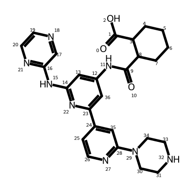 O=C(O)C1CCCCC1C(=O)Nc1cc(Nc2cnccn2)nc(-c2ccnc(N3CCNCC3)c2)c1